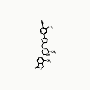 Cc1cc(-c2ncc(CN3C[C@@H](c4ccc5c(c4C)COC5=O)N[C@@H](C)C3)s2)ncc1C#N